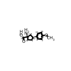 COc1ccc([C@H]2CC[C@](N)(C(=O)O)C2)cc1